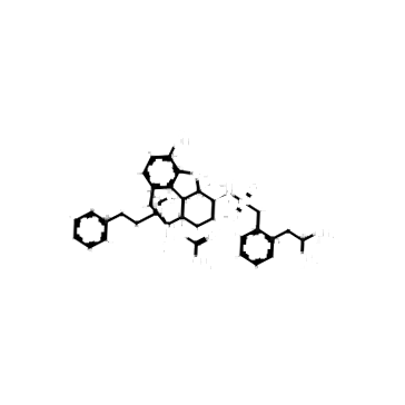 CC(=O)O[C@@]12CC[C@H](NS(=O)(=O)Cc3ccccc3CC(C)C)[C@@H]3Oc4c(O)ccc5c4[C@@]31CCN(CCc1ccccc1)[C@@H]2C5